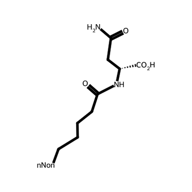 CCCCCCCCCCCCCC(=O)N[C@H](CC(N)=O)C(=O)O